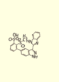 CS(=O)(=O)c1c(-c2ccc3[nH]nc(-c4nc5ccccc5[nH]4)c3c2)cccc1S(=O)(=O)O